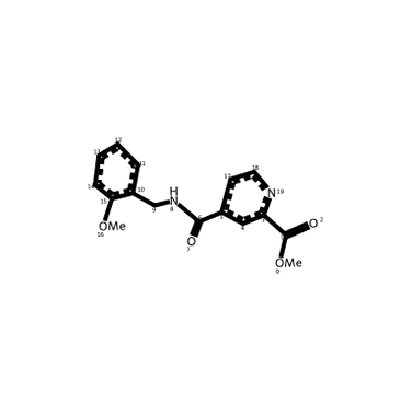 COC(=O)c1cc(C(=O)NCc2ccccc2OC)ccn1